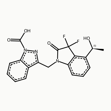 C[C@H](O)c1cccc2c1C(F)(F)C(=O)N2Cc1nn(C(=O)O)c2ccccc12